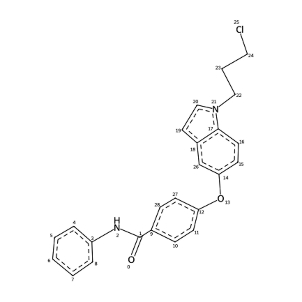 O=C(Nc1ccccc1)c1ccc(Oc2ccc3c(ccn3CCCCl)c2)cc1